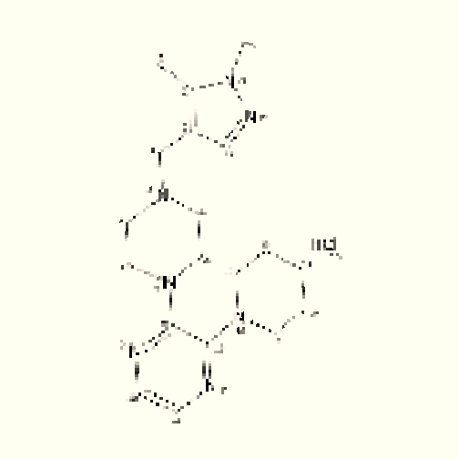 Cc1c(CN2CCN(c3nccnc3N3CCCCC3)CC2)cnn1C.Cl